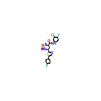 CN1C(C(=O)Nc2ccc(F)c(Cl)c2)CC(c2ncc(-c3ccc(F)cc3)s2)NS1(=O)=O